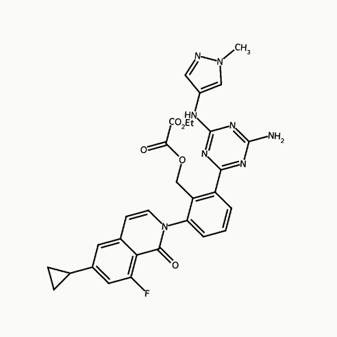 CCOC(=O)C(=O)OCc1c(-c2nc(N)nc(Nc3cnn(C)c3)n2)cccc1-n1ccc2cc(C3CC3)cc(F)c2c1=O